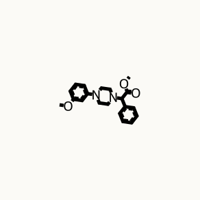 COC(=O)C(c1ccccc1)N1CCN(c2cccc(OC)c2)CC1